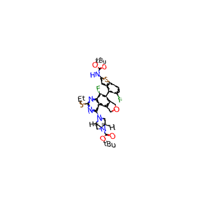 CCSc1nc(N2C[C@H]3C[C@@H]2CN3C(=O)OC(C)(C)C)c2c3c(c(-c4c(F)ccc5sc(NC(=O)OC(C)(C)C)cc45)c(F)c2n1)COC3